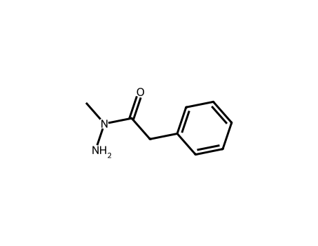 CN(N)C(=O)Cc1ccccc1